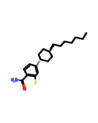 CCCCCCC[C@H]1CC[C@H](c2ccc(C(N)=O)c(F)c2)CC1